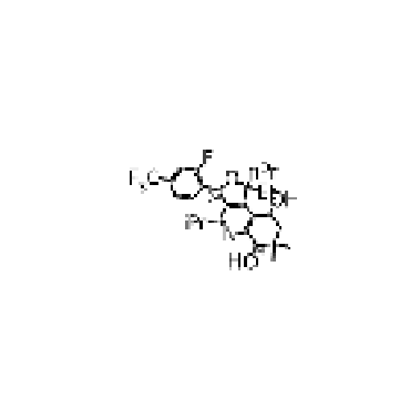 CCCC1(CC)O[C@H](c2ccc(C(F)(F)F)cc2F)c2c(C(C)C)nc3c(c21)C(O)CC(C)(C)[C@@H]3O